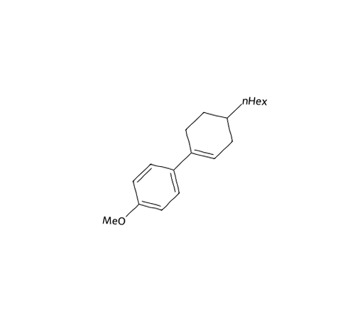 CCCCCCC1CC=C(c2ccc(OC)cc2)CC1